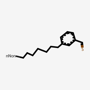 CCCCCCCCCCCCCCCCc1cccc(C=S)c1